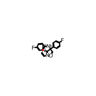 O=CC(Nc1ccc(F)cc1)(c1ccc(F)cc1)c1ncc[nH]1